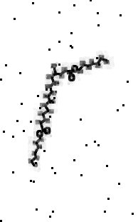 CCCCCCCOC(=O)CCCCCCCCCCCC(C)CCC(=O)OCCCCCCC